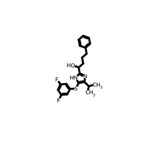 CC(C)c1nc(C(O)CCCc2ccccc2)[nH]c1Sc1cc(F)cc(F)c1